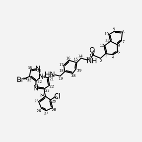 O=C(Cc1ccc2ccccc2c1)NCc1ccc(CNc2cc(-c3ccccc3Cl)nc3c(Br)cnn23)cc1